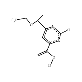 C=C(OCC)c1cc(C(C)OCC(F)(F)F)nc(Cl)n1